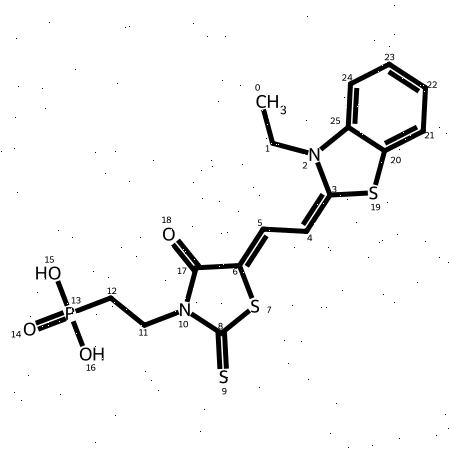 CCN1C(=CC=C2SC(=S)N(CCP(=O)(O)O)C2=O)Sc2ccccc21